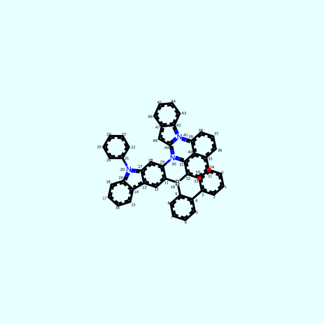 c1ccc(-c2ccccc2B2c3cc4c5ccccc5n(-c5ccccc5)c4cc3-n3c4c2ccc2cccc(c24)n2c4ccccc4cc32)cc1